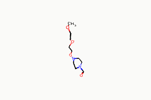 COCCOCCON1CCN(C=O)CC1